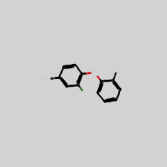 N#Cc1ccc(Oc2ccccc2C(F)(F)F)c(Cl)c1